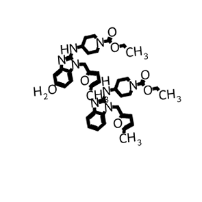 CCOC(=O)N1CCC(Nc2nc3ccccc3n2Cc2ccc(C)o2)CC1.CCOC(=O)N1CCC(Nc2nc3ccccc3n2Cc2ccc(C)o2)CC1.O